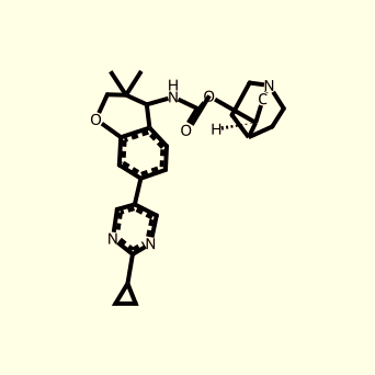 CC1(C)COc2cc(-c3cnc(C4CC4)nc3)ccc2C1NC(=O)O[C@H]1CN2CCC1CC2